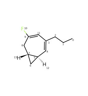 CCCC1=C[C@H]2C[C@@H]2CC(F)=C1